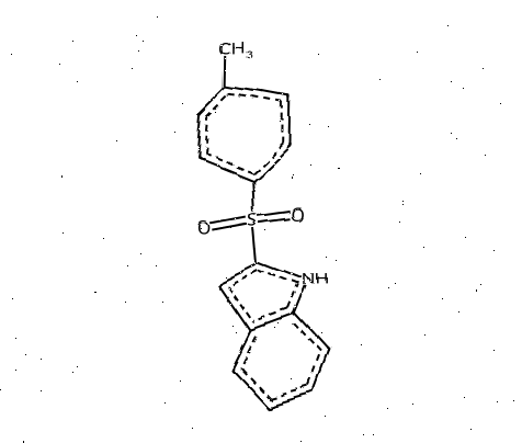 Cc1ccc(S(=O)(=O)c2cc3ccccc3[nH]2)cc1